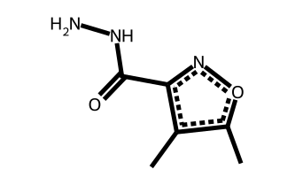 Cc1onc(C(=O)NN)c1C